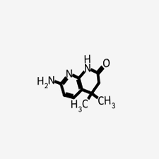 CC1(C)CC(=O)Nc2nc(N)ccc21